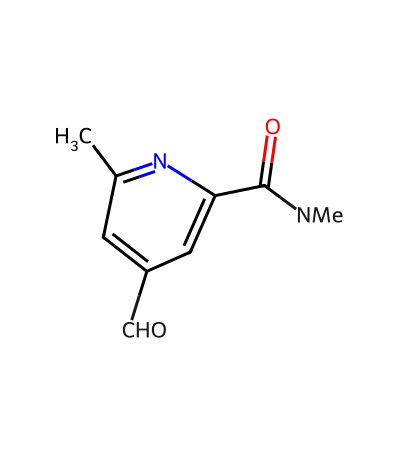 CNC(=O)c1cc(C=O)cc(C)n1